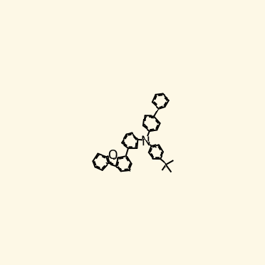 CC(C)(C)c1ccc(N(c2ccc(-c3ccccc3)cc2)c2cccc(-c3cccc4c3oc3ccccc34)c2)cc1